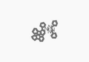 c1ccc(-c2nc(-c3ccccc3)nc(-n3c4ccccc4c4c5c(ccc43)C3(c4ccccc4-c4ccccc43)c3ccccc3-5)n2)cc1